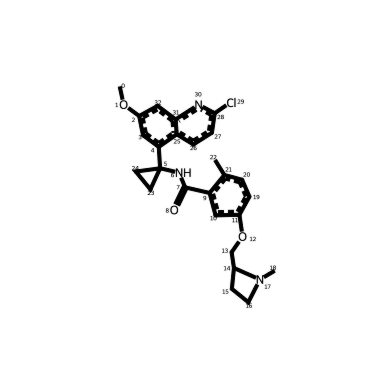 COc1cc(C2(NC(=O)c3cc(OCC4CCN4C)ccc3C)CC2)c2ccc(Cl)nc2c1